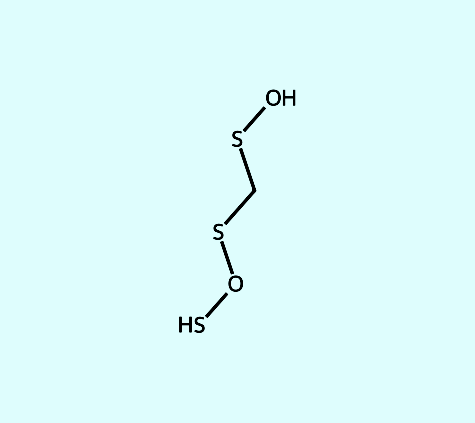 OSCSOS